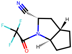 N#C[C@@H]1C[C@@H]2CCC[C@H]2N1C(=O)C(F)(F)F